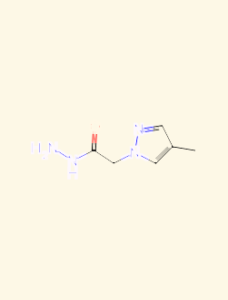 Cc1cnn(CC(=O)NN)c1